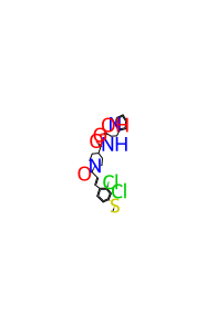 CSc1ccc(/C=C/C(=O)N2CCC(C(=O)NC(Cc3ccccn3)C(=O)O)CC2)c(Cl)c1Cl